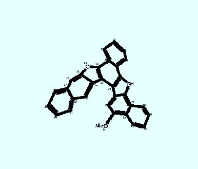 COc1cc2c([nH]c3c4ccccc4c4oc5cc6ccccc6cc5c4c23)c2ccccc12